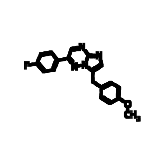 COc1ccc(Cc2cnc3ncc(-c4ccc(F)cc4)nn23)cc1